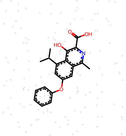 Cc1nc(C(=O)O)c(O)c2c(C(C)C)cc(Oc3ccccc3)cc12